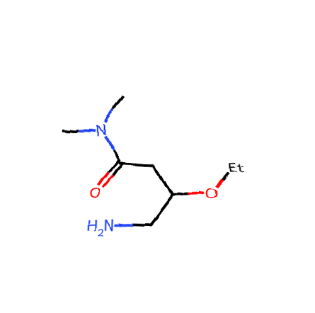 CCOC(CN)CC(=O)N(C)C